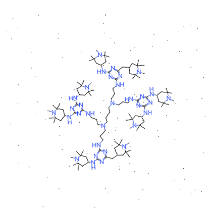 CN1C(C)(C)CC(Cc2nc(NCCCN(CCCCN(CCCNc3nc(CC4CC(C)(C)N(C)C(C)(C)C4)nc(NC4CC(C)(C)N(C)C(C)(C)C4)n3)CCCNc3nc(NC4CC(C)(C)N(C)C(C)(C)C4)nc(NC4CC(C)(C)N(C)C(C)(C)C4)n3)CCCNc3nc(NC4CC(C)(C)N(C)C(C)(C)C4)nc(NC4CC(C)(C)N(C)C(C)(C)C4)n3)nc(NC3CC(C)(C)N(C)C(C)(C)C3)n2)CC1(C)C